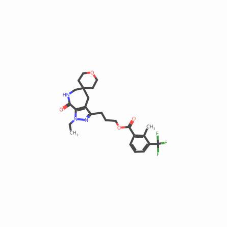 CCn1nc(CCCOC(=O)c2cccc(C(F)(F)F)c2C)c2c1C(=O)NCC1(CCOCC1)C2